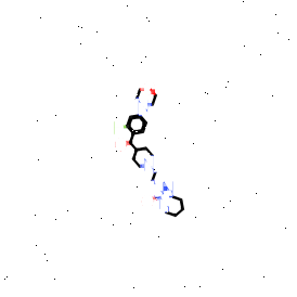 O=C(c1ccc(N2CCOCC2)cc1F)C1CCN(CCn2nc3n(c2=O)CCCC3)CC1